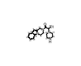 CCC(C(=O)N1CCn2c(cc3ccccc32)C1)N1CCNCC1